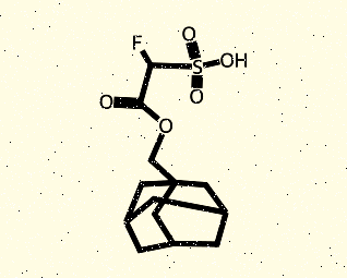 O=C(OCC12CC3CC(CC(C3)C1)C2)C(F)S(=O)(=O)O